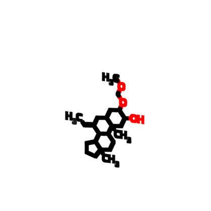 CC=C1CC2CC(OCOC)C(O)CC2(C)C2CCC3(C)CCCC3C12